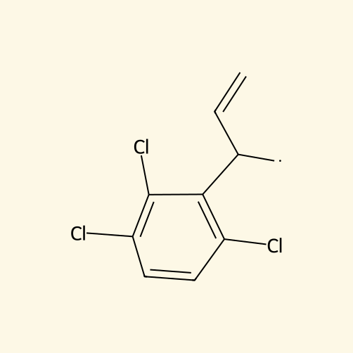 [CH2]C(C=C)c1c(Cl)ccc(Cl)c1Cl